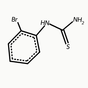 NC(=S)Nc1ccccc1Br